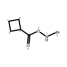 CC(C)NOC(=O)C1CCC1